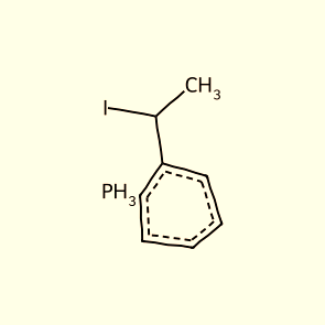 CC(I)c1ccccc1.P